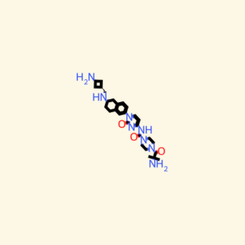 CC(C)(N)C(=O)N1CCN(C(=O)Nc2ccn(-c3ccc4c(c3)CCC(NC[C@H]3C[C@H](N)C3)C4)c(=O)n2)CC1